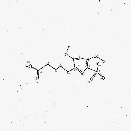 COc1cc(OC)c(S(=O)(=O)Cl)cc1CCCCC(=O)O